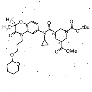 COC(=O)[C@H]1C[C@@H](C(=O)N(c2ccc3c(c2)N(CCCOC2CCCCO2)C(=O)C(C)(C)O3)C2CC2)CN(C(=O)OC(C)(C)C)C1